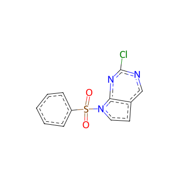 O=S(=O)(c1ccccc1)n1ccc2cnc(Cl)nc21